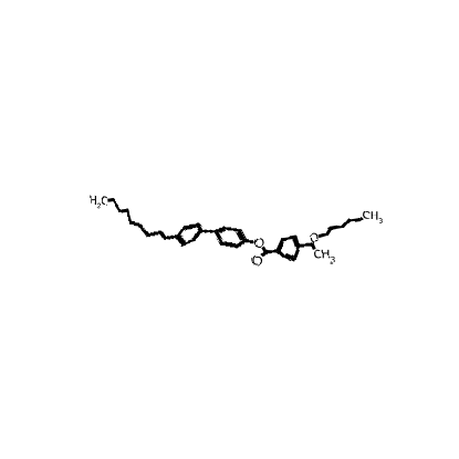 CCCCCCCCCc1ccc(-c2ccc(OC(=O)c3ccc(C(C)OCCCCCC)cc3)cc2)cc1